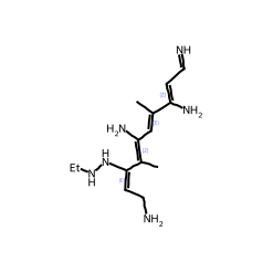 CCNNC(=C/CN)/C(C)=C(N)/C=C(C)/C(N)=C/C=N